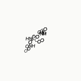 COc1cc(C(=O)NS(=O)(=O)c2ccccc2C)ccc1C(Cc1ccc2ccccc2c1)c1c[nH]c2ccc(NC(=O)OC3CCCC3)cc12